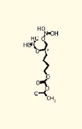 CC(Cl)OC(=O)OCCCC[C@H](CON(O)O)ON(O)O